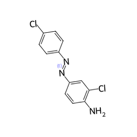 Nc1ccc(/N=N/c2ccc(Cl)cc2)cc1Cl